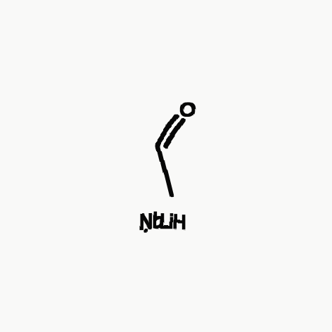 CC=O.[LiH].[Nb]